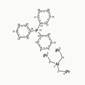 CC(C)[CH2][Al]([CH2]C(C)C)[CH2]C(C)C.c1ccc(P(c2ccccc2)c2ccccc2)cc1